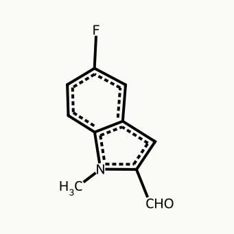 Cn1c(C=O)cc2cc(F)ccc21